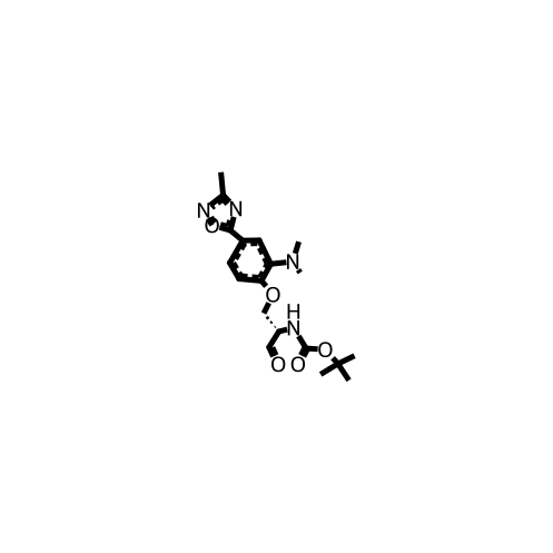 Cc1noc(-c2ccc(OC[C@@H](C=O)NC(=O)OC(C)(C)C)c(N(C)C)c2)n1